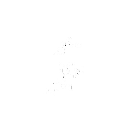 CC1CN(c2nc(SCCc3ccc(NC(=O)OC(C)(C)C)cc3)c(C#N)c3c2COC(C)(C)C3)CC(C)N1CC(=O)O